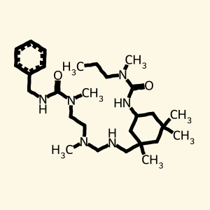 CCCN(C)C(=O)NC1CC(C)(C)CC(C)(CNCN(C)CCN(C)C(=O)NCc2ccccc2)C1